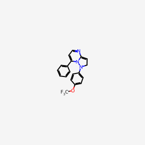 FC(F)(F)Oc1ccc(N2CC=C3N=CC=C(c4ccccc4)N32)cc1